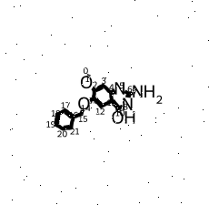 COc1cc2nc(N)nc(O)c2cc1OCc1ccccc1